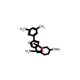 COC1CCC23Cc4ccc(-c5cc(C)cc(C)c5)cc4C2(C1)CN(C)C(N)=N3